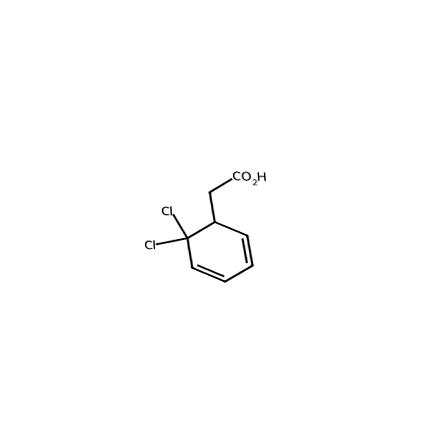 O=C(O)CC1C=CC=CC1(Cl)Cl